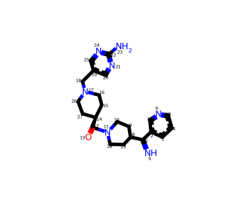 N=C(c1cccnc1)C1CCN(C(=O)C2CCN(Cc3cnc(N)nc3)CC2)CC1